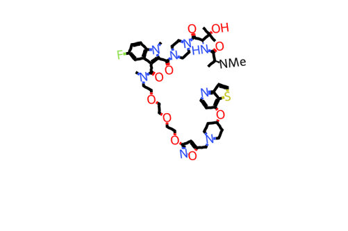 CN[C@@H](C)C(=O)N[C@H](C(=O)N1CCN(C(=O)c2c(C(=O)N(C)CCOCCOCCOc3cc(CN4CCC(Oc5ccnc6ccsc56)CC4)on3)c3cc(F)ccc3n2C)CC1)C(C)(C)O